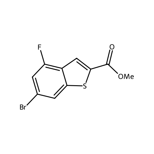 COC(=O)c1cc2c(F)cc(Br)cc2s1